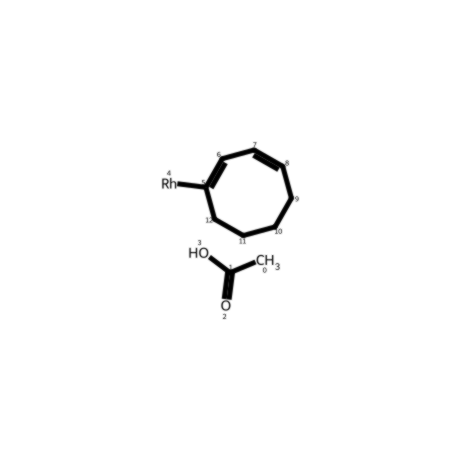 CC(=O)O.[Rh][C]1=CC=CCCCC1